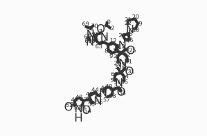 CC(C)Oc1nc(-c2ccc3c(c2)N([C@H]2C[C@@H](N4CCCCC4)C2)C(=O)C32CCN(C(=O)C3(C)CCN(C(=O)C4CCN(c5ccc(C6CCC(=O)NC6=O)cn5)CC4)CC3)CC2)cc2ncn(C(C)C)c12